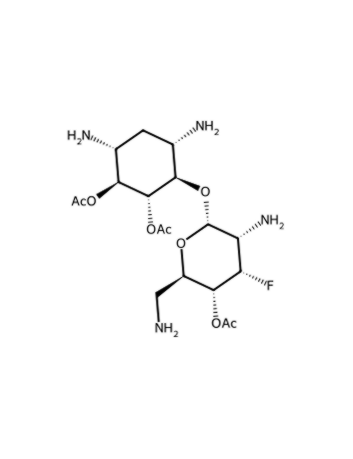 CC(=O)O[C@@H]1[C@@H](OC(C)=O)[C@H](N)C[C@H](N)[C@H]1O[C@H]1O[C@H](CN)[C@@H](OC(C)=O)[C@@H](F)[C@H]1N